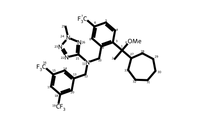 COC(C)(c1ccc(C(F)(F)F)cc1CN(Cc1cc(C(F)(F)F)cc(C(F)(F)F)c1)c1nnn(C)n1)C1CCCCCC1